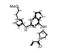 C=CC(=O)N1CC[C@@H](Nc2nc(Nc3cnn(CCOC)c3)nc3ccsc23)C1